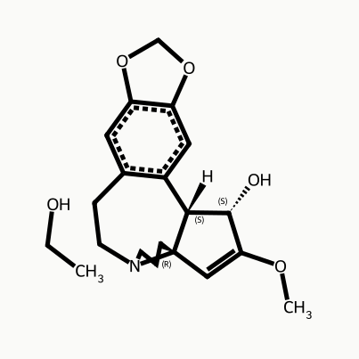 CCO.COC1=C[C@]23CCCN2CCc2cc4c(cc2[C@@H]3[C@@H]1O)OCO4